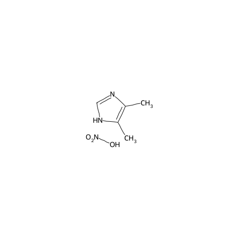 Cc1nc[nH]c1C.O=[N+]([O-])O